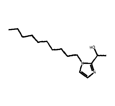 CCCCCCCCCCn1ccnc1C(C)O